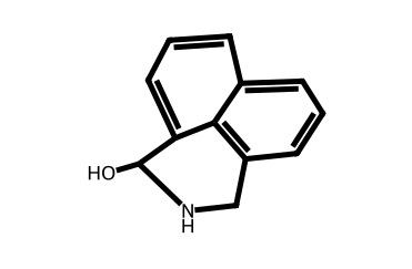 OC1NCc2cccc3cccc1c23